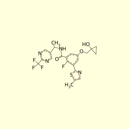 Cc1cnc(-c2cc(OCC3(O)CC3)cc(C(=O)NC(C)c3cnc(C(F)(F)F)nc3)c2F)s1